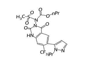 CCCOC(=O)N(n1c(=O)[nH]c2cc(C(F)(F)F)c(-c3ccnn3C(C)C)cc2c1=O)S(C)(=O)=O